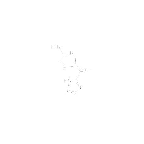 NC1=NCN(C(=O)c2ncc[nH]2)C=C1